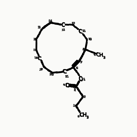 CCCC(=O)OC1=CC(C)CCCCCCCCCCCC1